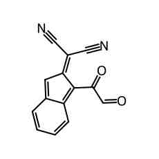 N#CC(C#N)=C1C=c2ccccc2=C1C(=O)C=O